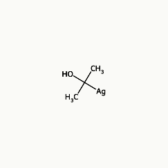 C[C](C)(O)[Ag]